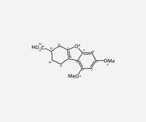 COc1cc(OC)c2c3c(oc2c1)CC(C(=O)O)CC3